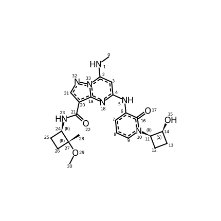 CNc1cc(Nc2cccn([C@@H]3CC[C@@H]3O)c2=O)nc2c(C(=O)N[C@@H]3CC[C@@]3(C)OC)cnn12